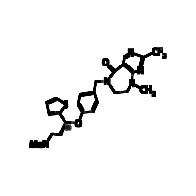 CNCC[C@H](Oc1ccc(CN2CCN(C)c3nc(C(F)(F)F)ncc3C2=O)cc1)c1cccs1